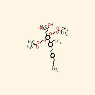 C=C(C)C(=O)OCCOc1cc(-c2ccc(CCc3ccc(CCCCC)cc3)cc2CC)c(OCCOC(=O)C(=C)C)cc1CCC(C)(CO)CO